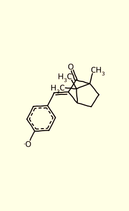 CC12CCC(C(=Cc3ccc([O])cc3)C1=O)C2(C)C